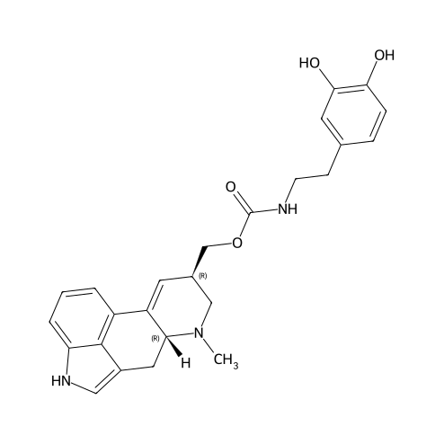 CN1C[C@H](COC(=O)NCCc2ccc(O)c(O)c2)C=C2c3cccc4[nH]cc(c34)C[C@H]21